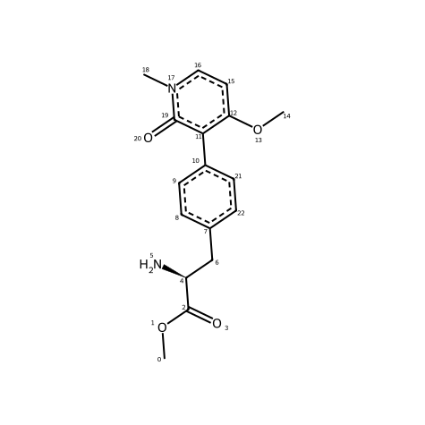 COC(=O)[C@@H](N)Cc1ccc(-c2c(OC)ccn(C)c2=O)cc1